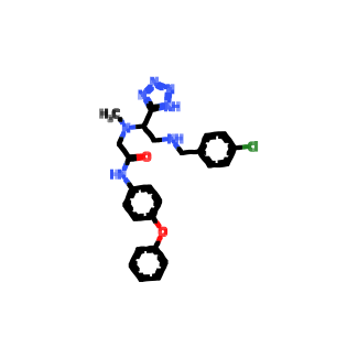 CN(CC(=O)Nc1ccc(Oc2ccccc2)cc1)C(CNCc1ccc(Cl)cc1)c1nnn[nH]1